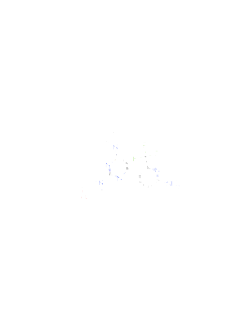 C[C@@H]1COCCN1c1nc(-c2ccc(N)nc2C(F)(F)F)cc(N2CCC2)n1